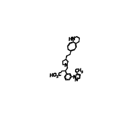 Cc1ccnn1-c1cccc(C(CC(=O)O)CN2CC[C@@H](CC/C3=C/C=C4/CCCNC4=C=CC3)C2)c1